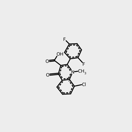 Cn1c(-c2cc(F)ccc2F)c(C(=O)O)c(=O)c2cccc(Cl)c21